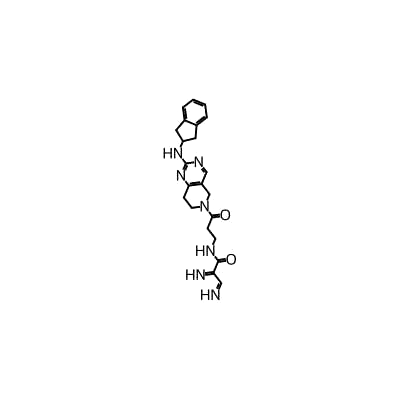 N=CC(=N)C(=O)NCCC(=O)N1CCc2nc(NC3Cc4ccccc4C3)ncc2C1